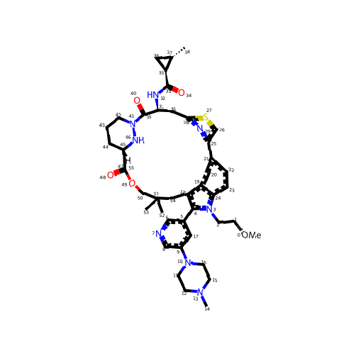 COCCn1c(-c2cncc(N3CCN(C)CC3)c2)c2c3cc(ccc31)-c1csc(n1)C[C@H](NC(=O)[C@H]1C[C@@H]1C)C(=O)N1CCC[C@H](N1)C(=O)OCC(C)(C)C2